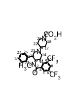 CN(C(=O)c1cc(C(F)(F)F)cc(C(F)(F)F)c1)C1CCN(C2CCN(C(=O)O)CC2)CC1c1ccccc1